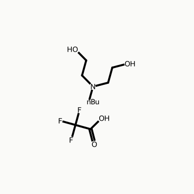 CCCCN(CCO)CCO.O=C(O)C(F)(F)F